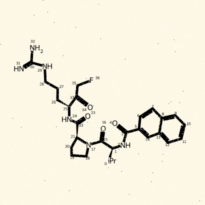 CC(C)[C@H](NC(=O)c1ccc2ccccc2c1)C(=O)N1CCC[C@H]1C(=O)N[C@@H](CCCNC(=N)N)C(=O)CF